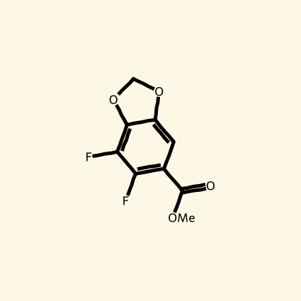 COC(=O)c1cc2c(c(F)c1F)OCO2